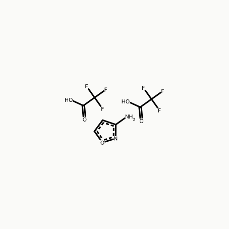 Nc1ccon1.O=C(O)C(F)(F)F.O=C(O)C(F)(F)F